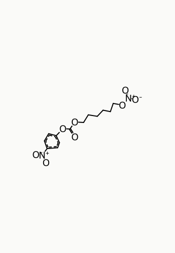 O=C(OCCCCCCO[N+](=O)[O-])Oc1ccc([N+](=O)[O-])cc1